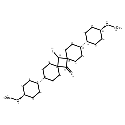 CCCCCCCCCCO[C@H]1CC[C@H](C2CCC3(CC2)C(=O)C2(CCC([C@H]4CC[C@H](OCCCCCCCCCC)CC4)CC2)C3F)CC1